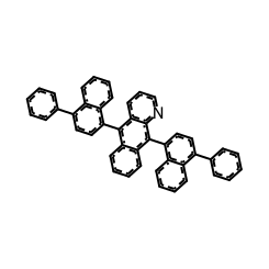 c1ccc(-c2ccc(-c3c4ccccc4c(-c4ccc(-c5ccccc5)c5ccccc45)c4ncccc34)c3ccccc23)cc1